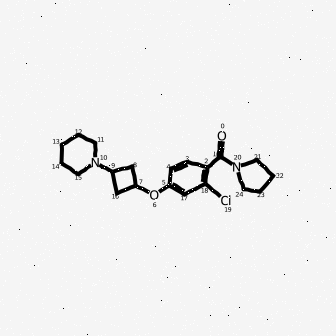 O=C(c1ccc(OC2CC(N3CCCCC3)C2)cc1Cl)N1CCCC1